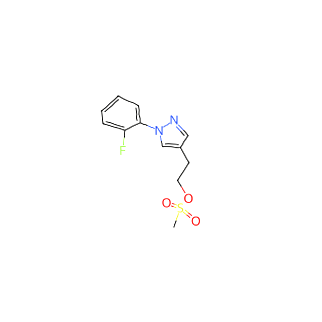 CS(=O)(=O)OCCc1cnn(-c2ccccc2F)c1